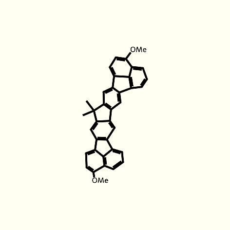 COc1ccc2c3c(cccc13)-c1cc3c(cc1-2)C(C)(C)c1cc2c(cc1-3)-c1cccc3c(OC)ccc-2c13